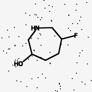 OC1CCC(F)CNC1